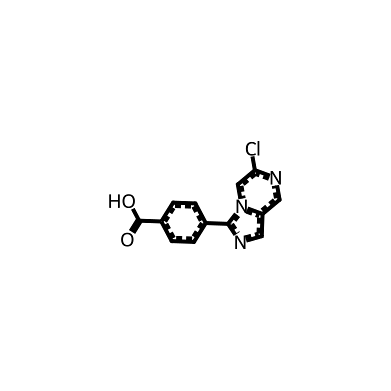 O=C(O)c1ccc(-c2ncc3cnc(Cl)cn23)cc1